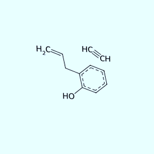 C#C.C=CCc1ccccc1O